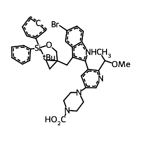 COC(C)c1ncc(N2CCN(C(=O)O)CC2)cc1-c1[nH]c2ccc(Br)cc2c1CC1(CO[Si](c2ccccc2)(c2ccccc2)C(C)(C)C)CC1